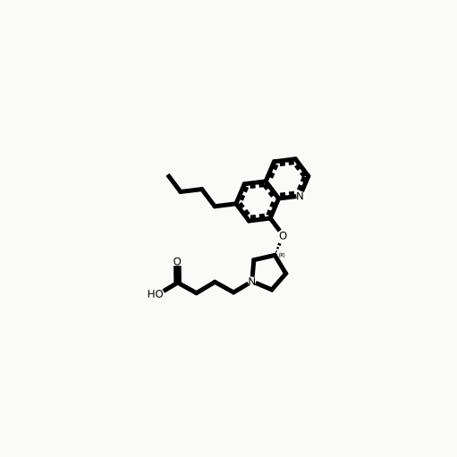 CCCCc1cc(O[C@@H]2CCN(CCCC(=O)O)C2)c2ncccc2c1